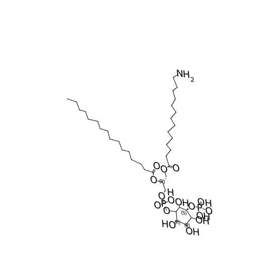 CCCCCCCCCCCCCCCC(=O)O[C@H](COC(=O)CCCCCCCCCCCCCN)COP(=O)(O)OC1C(O)[C@@H](OP(=O)(O)O)C(O)[C@@H](O)[C@H]1O